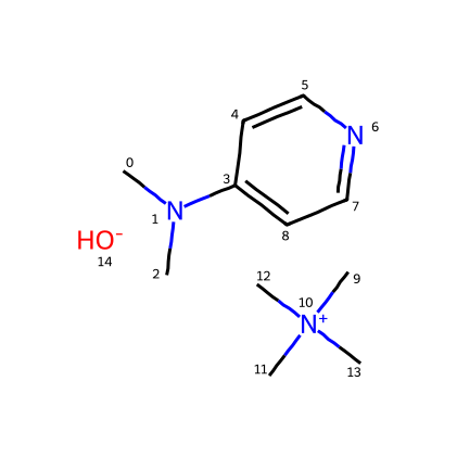 CN(C)c1ccncc1.C[N+](C)(C)C.[OH-]